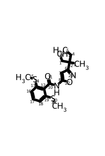 CCC(C)(CC)c1cc(NC(=O)c2c(SC)cccc2SC)on1